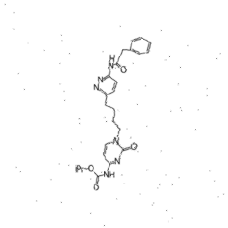 CC(C)OC(=O)Nc1ccn(CCCCc2ccc(NC(=O)Cc3ccccc3)nn2)c(=O)n1